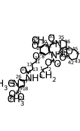 C=CCOC(=O)N1c2cc(OCCCC(=O)Nc3cc(C(=O)OC)n(C)c3)c(OC)cc2C(=O)N2CCC[C@H]2C1OC1CCCCO1